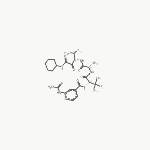 CC(=O)Nc1cc(C(=O)N[C@H](C(=O)N[C@@H](C)C(=O)N[C@H](C(=O)C(=O)NC2CCCCC2)C(C)C)C(C)(C)C)ccn1